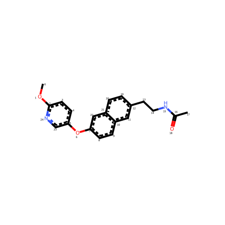 COc1ccc(Oc2ccc3cc(CCNC(C)=O)ccc3c2)cn1